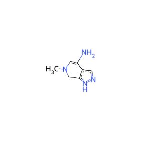 CN1C=C(N)c2cn[nH]c2C1